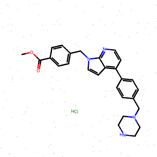 COC(=O)c1ccc(Cn2ccc3c(-c4ccc(CN5CCNCC5)cc4)ccnc32)cc1.Cl